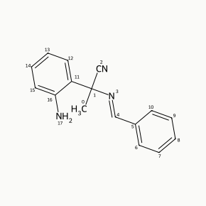 CC(C#N)(N=Cc1ccccc1)c1ccccc1N